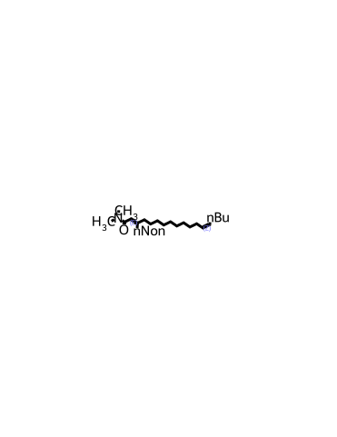 CCCC/C=C\CCCCCCCCC/C(=C/C(=O)N(C)C)CCCCCCCCC